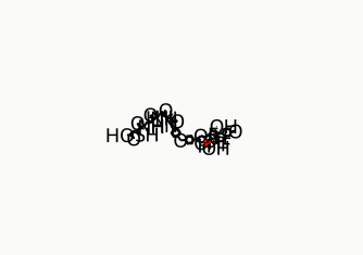 C[C@H](NC(=O)CCNC(=O)C(S)CC(=O)O)C(=O)N[C@@H](C)C(=O)Nc1ccc(Oc2ccc([C@@H]3O[C@@H]4C[C@H]5[C@@H]6C[C@H](F)C7=CC(=O)C=C[C@]7(C)[C@@]6(F)[C@@H](O)C[C@]5(C)[C@]4(C(=O)CO)O3)cc2)cc1